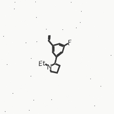 C=Cc1cc(F)cc(C2CCCN2CC)c1